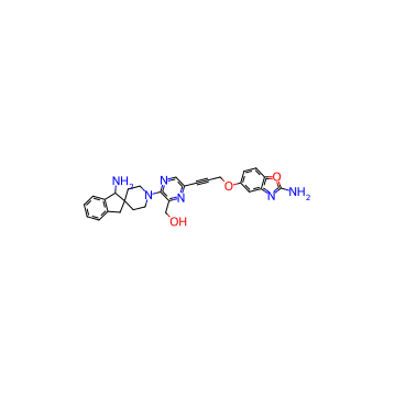 Nc1nc2cc(OCC#Cc3cnc(N4CCC5(CC4)Cc4ccccc4C5N)c(CO)n3)ccc2o1